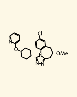 CO[C@H]1Cc2cc(Cl)ccc2-n2c(nnc2[C@H]2CC[C@H](Oc3ccccn3)CC2)C1